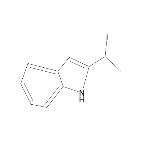 CC(I)c1cc2ccccc2[nH]1